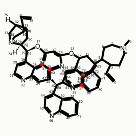 C=CC1CCN(C)CCC1CCC(Oc1cc(O[C@@H](c2ccnc3ccccc23)[C@@H]2CC3CCN2C[C@@H]3C=C)nc(O[C@H](c2ccnc3ccccc23)C2CC3CC[N@]2CC3C=C)n1)c1ccnc2ccccc12